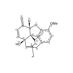 COc1ccc2c3c1O[C@H]1C(=O)C=C[C@@]4(O)C(C2)N(C)CC(C)[C@]314